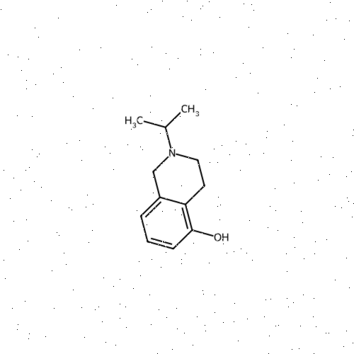 CC(C)N1CCc2c(O)cccc2C1